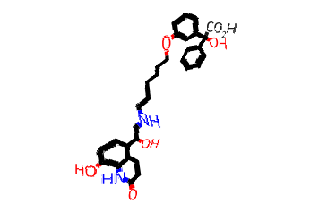 O=C(O)C(O)(c1ccccc1)c1cccc(OCCCCCCNCC(O)c2ccc(O)c3[nH]c(=O)ccc23)c1